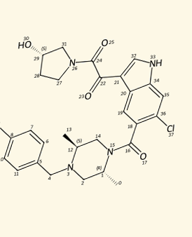 C[C@@H]1CN(Cc2ccc(F)cc2)[C@@H](C)CN1C(=O)c1cc2c(C(=O)C(=O)N3CC[C@H](O)C3)c[nH]c2cc1Cl